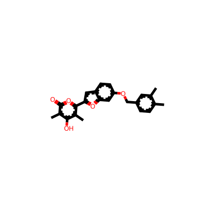 Cc1ccc(COc2ccc3cc(-c4oc(=O)c(C)c(O)c4C)oc3c2)cc1C